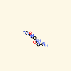 CN1CCN(C(=O)Cn2cc3cc(NC(=O)c4cccc(-c5cn[nH]c5)n4)ccc3n2)CC1